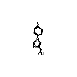 N#CCc1cn(-c2ccc(Cl)cc2)cn1